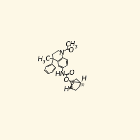 CC(=O)N1CCC(C)(c2ccccc2)c2cc(NC(=O)O[C@H]3C[C@H]4CC[C@@H]3C4)ccc21